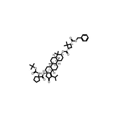 CC(C)C1=C2[C@H]3CC[C@@H]4[C@@]5(C)CC[C@H](OC(=O)[C@H]6C[C@@H](C(=O)OCc7ccccc7)C6(C)C)C(C)(C)[C@@H]5CC[C@@]4(C)[C@]3(C)CC[C@@]2(NC(=O)C2(NC(=O)OC(C)(C)C)CCCC2)CC1=O